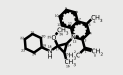 C=C(C)c1cc(C)c2ccccc2[n+]1C1C(C)C1(NC1CCCCC1)OC